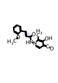 COc1ccccc1/C=C/C(=O)NN1C=CC(=C=O)C(O)=C1C